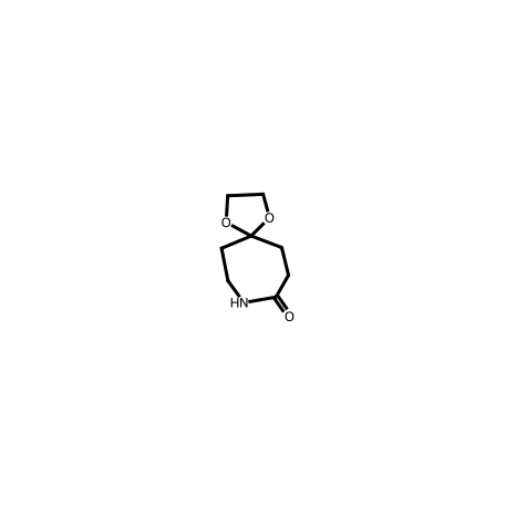 O=C1CCC2(CCN1)OCCO2